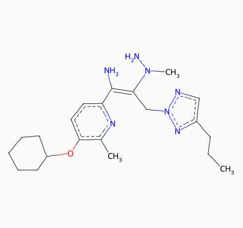 CCCc1cnn(C/C(=C(/N)c2ccc(OC3CCCCC3)c(C)n2)N(C)N)n1